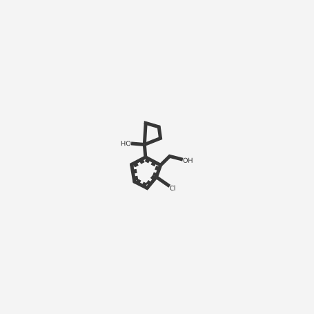 OCc1c(Cl)cccc1C1(O)CCC1